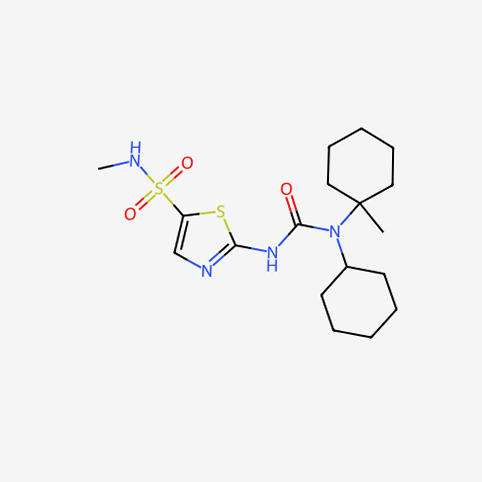 CNS(=O)(=O)c1cnc(NC(=O)N(C2CCCCC2)C2(C)CCCCC2)s1